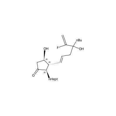 C=C(F)C(O)(CC=C[C@H]1[C@H](O)CC(=O)[C@@H]1CCCCCCC)CCCC